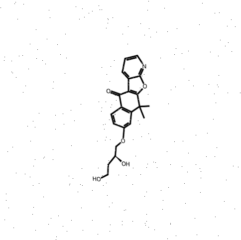 CC1(C)c2cc(OC[C@@H](O)CCO)ccc2C(=O)c2c1oc1ncccc21